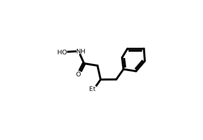 CCC(CC(=O)NO)Cc1ccccc1